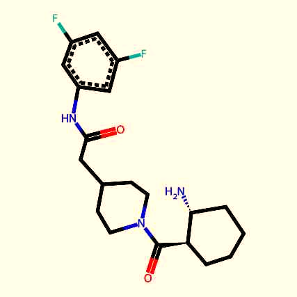 N[C@@H]1CCCC[C@H]1C(=O)N1CCC(CC(=O)Nc2cc(F)cc(F)c2)CC1